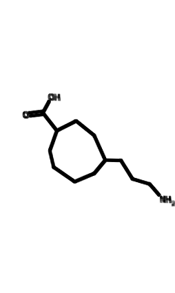 NCCCC1CCCCC(C(=O)O)CC1